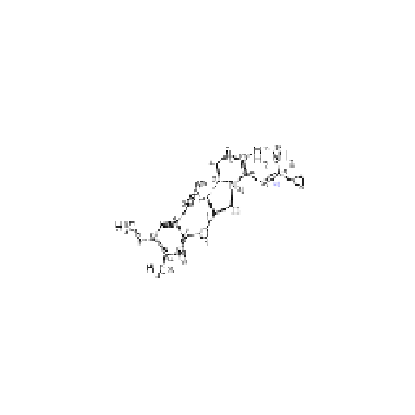 C=Cc1cc(C#N)c(OC2CC3CNC(N)=C(/C=C(\N)Cl)N3C2)nc1C